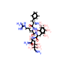 Bc1c(B)c(B)c(C[C@H](NC(=O)[C@@H](CCCNC(=N)N)NC(=O)[C@@H](N)Cc2ccccc2)C(=O)N[C@@](B)(CC(B)(B)C(B)(B)CN)C(N)=O)c(B)c1B